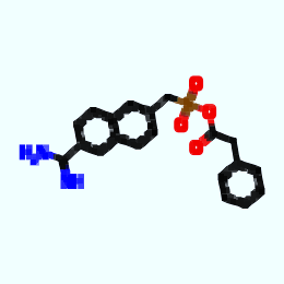 N=C(N)c1ccc2cc(CS(=O)(=O)OC(=O)Cc3ccccc3)ccc2c1